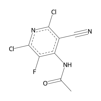 CC(=O)Nc1c(F)c(Cl)nc(Cl)c1C#N